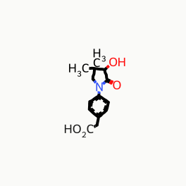 CC1(C)CN(c2ccc(CC(=O)O)cc2)C(=O)C1O